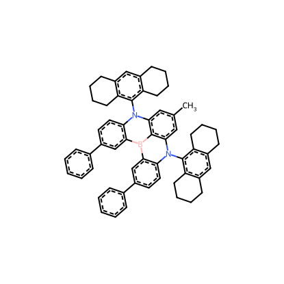 Cc1cc2c3c(c1)N(c1c4c(cc5c1CCCC5)CCCC4)c1ccc(-c4ccccc4)cc1B3c1cc(-c3ccccc3)ccc1N2c1c2c(cc3c1CCCC3)CCCC2